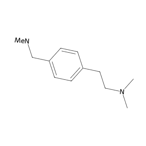 CNCc1ccc(CCN(C)C)cc1